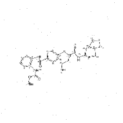 CC(C)(C)OC(=O)Nc1ccccc1NC(=O)c1ccc(CN(CCO)C(=O)Nc2ccc3c(c2)OCO3)cc1